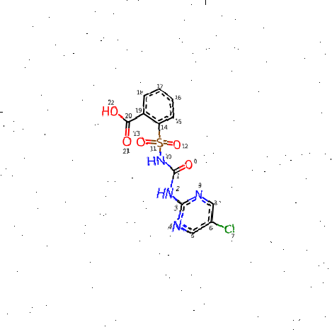 O=C(Nc1ncc(Cl)cn1)NS(=O)(=O)c1ccccc1C(=O)O